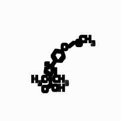 COCCOc1ccc(-c2nc(C(C)(C)C(=O)O)cs2)cc1